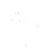 C=C(Nc1cnccn1)c1cc(OCCc2scnc2C)cc(OC(C)C)c1